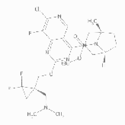 CN(C)C[C@@]1(COc2nc(N3C[C@H]4CC[C@@](C)(C3)N4C(=O)OC(C)(C)C)c3cnc(Cl)c(F)c3n2)CC1(F)F